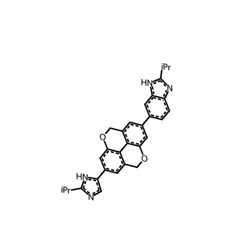 CC(C)c1ncc(-c2cc3c4c(c2)OCc2cc(-c5ccc6nc(C(C)C)[nH]c6c5)cc(c2-4)OC3)[nH]1